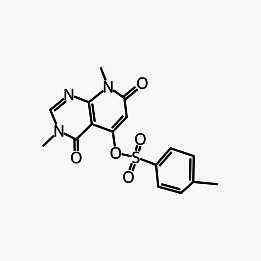 Cc1ccc(S(=O)(=O)Oc2cc(=O)n(C)c3ncn(C)c(=O)c23)cc1